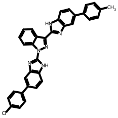 Cc1ccc(-c2ccc3[nH]c(-c4nn(-c5nc6cc(-c7ccc(Cl)cc7)ccc6[nH]5)c5ccccc45)nc3c2)cc1